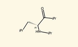 CC(C)C[C@@H](NC(C)C)C(=O)C(C)C